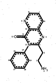 NCCc1nc2cccnc2c(=O)n1-c1ccccc1